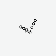 [O-][p+]1n[pH][nH][pH][nH]1.c1ccccc1.c1ccccc1.c1ccccc1.c1ccccc1.c1ccccc1.c1ccccc1